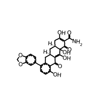 NC(=O)C1=C(O)C[C@@H]2C[C@@H]3Cc4c(-c5ccc6c(c5)OCO6)ccc(O)c4C(=O)C3=C(O)C2(O)C1=O